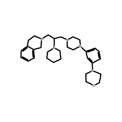 c1cc(N2CCOCC2)cc(N2CCN(CC(CN3CCc4ccccc4C3)N3CCCCC3)CC2)c1